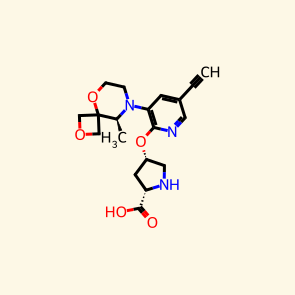 C#Cc1cnc(O[C@@H]2CN[C@H](C(=O)O)C2)c(N2CCOC3(COC3)[C@@H]2C)c1